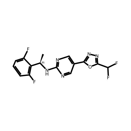 C[C@@H](Nc1ncc(-c2nnc(C(F)F)o2)cn1)c1c(F)cccc1F